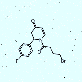 O=C1C=CN(C(=O)CCCBr)C(c2ccc(F)cc2)C1